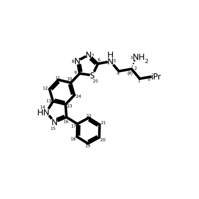 CC(C)C[C@@H](N)CNc1nnc(-c2ccc3[nH]nc(-c4ccccc4)c3c2)s1